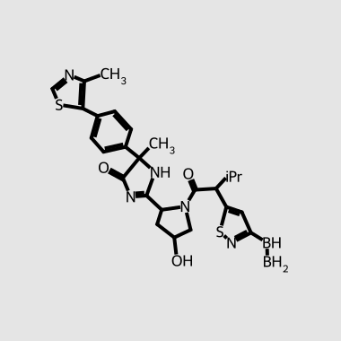 BBc1cc(C(C(=O)N2CC(O)CC2C2=NC(=O)C(C)(c3ccc(-c4scnc4C)cc3)N2)C(C)C)sn1